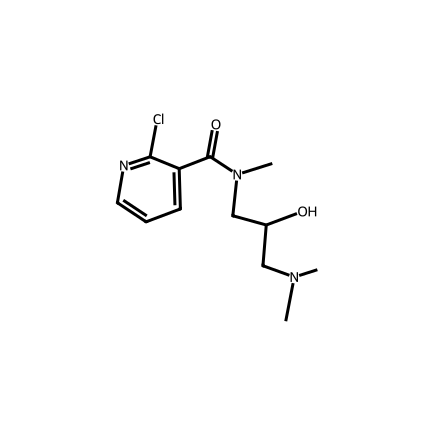 CN(C)CC(O)CN(C)C(=O)c1cccnc1Cl